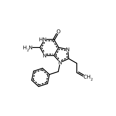 C=CCc1nc2c(=O)[nH]c(N)nc2n1Cc1ccccc1